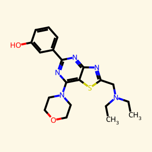 CCN(CC)Cc1nc2nc(-c3cccc(O)c3)nc(N3CCOCC3)c2s1